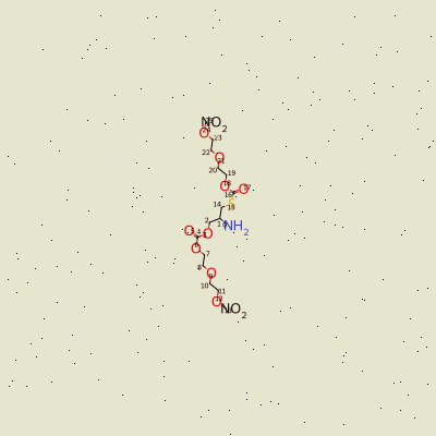 NC(COC(=O)OCCOCCO[N+](=O)[O-])CSC(=O)OCCOCCO[N+](=O)[O-]